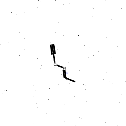 C#CO/N=[C]/C